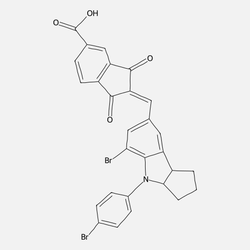 O=C(O)c1ccc2c(c1)C(=O)/C(=C/c1cc(Br)c3c(c1)C1CCCC1N3c1ccc(Br)cc1)C2=O